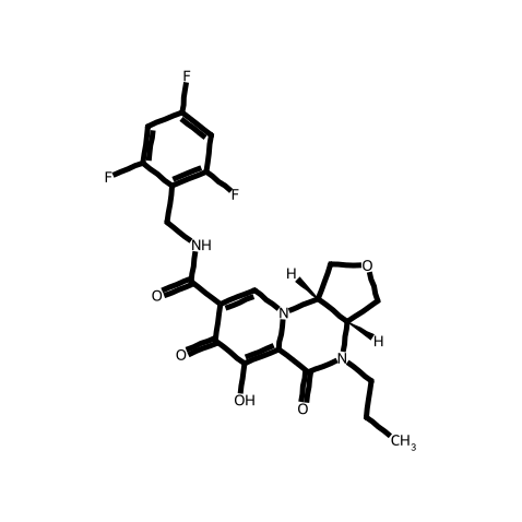 CCCN1C(=O)c2c(O)c(=O)c(C(=O)NCc3c(F)cc(F)cc3F)cn2[C@@H]2COC[C@@H]21